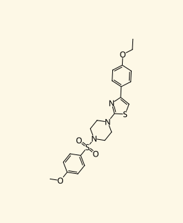 CCOc1ccc(-c2csc(N3CCN(S(=O)(=O)c4ccc(OC)cc4)CC3)n2)cc1